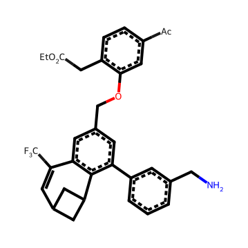 CCOC(=O)Cc1ccc(C(C)=O)cc1OCc1cc2c(c(-c3cccc(CN)c3)c1)C1CC(C=C2C(F)(F)F)C1